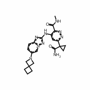 CNC(=O)c1nnc(C2(C(N)=O)CC2)cc1Nc1nc2ccc(N3CC4(CCC4)C3)cn2n1